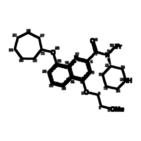 COCCOc1cc(C(=O)N(C(C)C)[C@H]2CCCNC2)nc2c(OC3CCCCCC3)cccc12